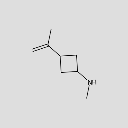 C=C(C)C1CC(NC)C1